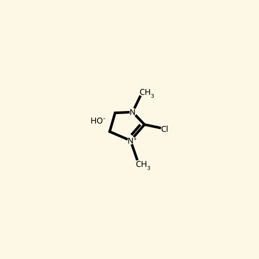 CN1CC[N+](C)=C1Cl.[OH-]